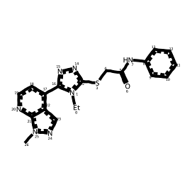 CCn1c(SCC(=O)Nc2ccccc2)nnc1-c1ccnc2c1cnn2C